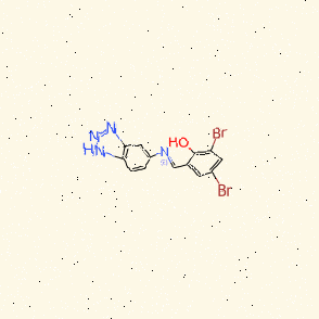 Oc1c(Br)cc(Br)cc1/C=N/c1ccc2[nH]nnc2c1